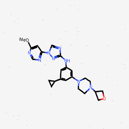 COc1cc(-n2cnc(Nc3cc(C4CC4)cc(N4CCN(C5COC5)CC4)c3)n2)ncn1